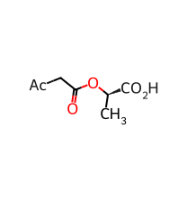 CC(=O)CC(=O)O[C@H](C)C(=O)O